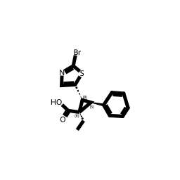 CC[C@@]1(C(=O)O)[C@H](c2ccccc2)[C@H]1c1cnc(Br)s1